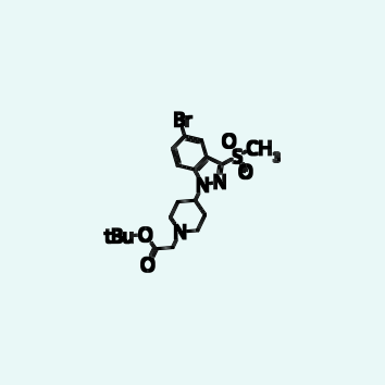 CC(C)(C)OC(=O)CN1CCC(n2nc(S(C)(=O)=O)c3cc(Br)ccc32)CC1